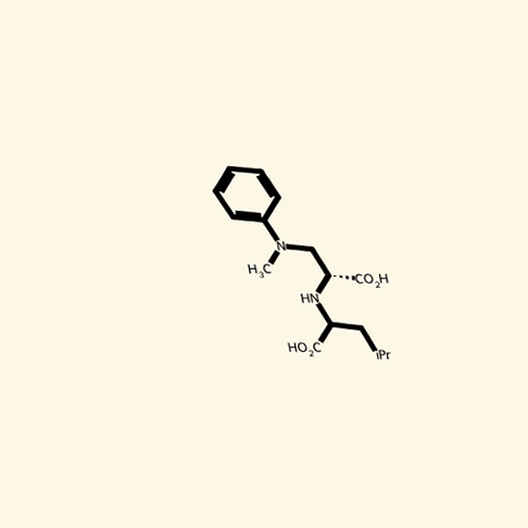 CC(C)CC(N[C@H](CN(C)c1ccccc1)C(=O)O)C(=O)O